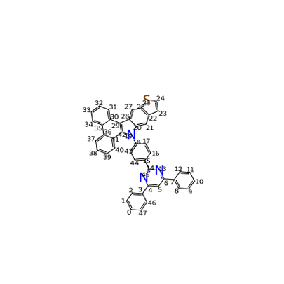 c1ccc(-c2cc(-c3ccccc3)nc(-c3ccc(-n4c5cc6ccsc6cc5c5c6ccccc6c6ccccc6c54)cc3)n2)cc1